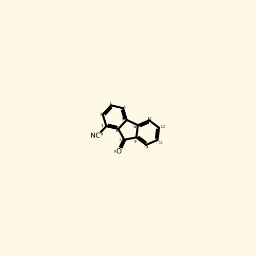 N#Cc1cccc2c1C(=O)c1ccccc1-2